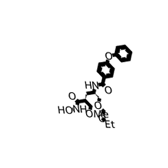 CCOCOC[C@H](C[C@H](COC)C(=O)NO)NC(=O)c1ccc(Oc2ccccc2)cc1